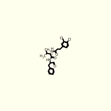 CC(C)[C@H](NC(=O)CCc1ccc(Cl)c(Cl)c1)C(=O)NC(C=O)Cc1ccccc1